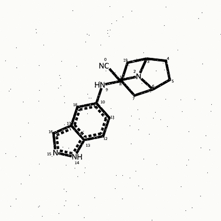 N#CCN1C2CCC1CC(Nc1ccc3[nH]ncc3c1)C2